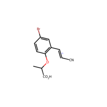 CC(Oc1ccc(Br)cc1/C=C/C#N)C(=O)O